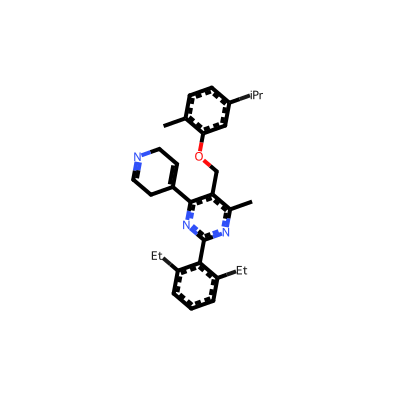 CCc1cccc(CC)c1-c1nc(C)c(COc2cc(C(C)C)ccc2C)c(C2=CCN=CC2)n1